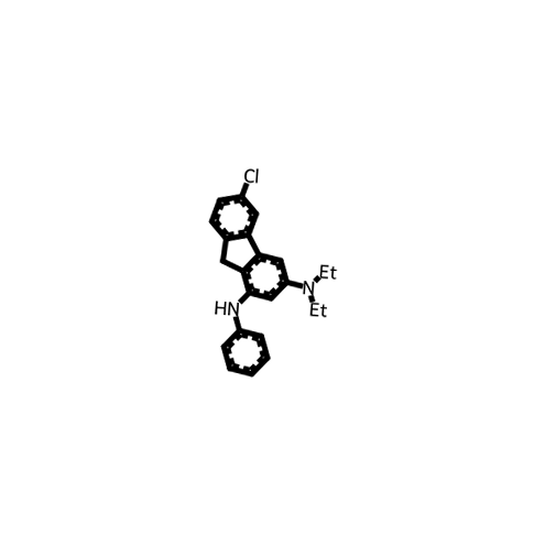 CCN(CC)c1cc(Nc2ccccc2)c2c(c1)-c1cc(Cl)ccc1C2